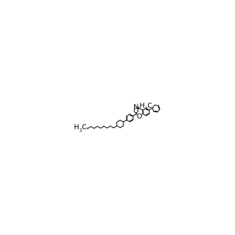 CCCCCCCCCCC1CCC(c2ccc(C(=O)Oc3ccc(C4(C)C=CC=CC4)cc3C#N)cc2)CC1